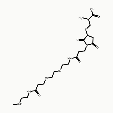 CNCCNC(=O)CCOCCOCCNC(=O)CCN1C(=O)CC(SCC(N)C(=O)O)C1=O